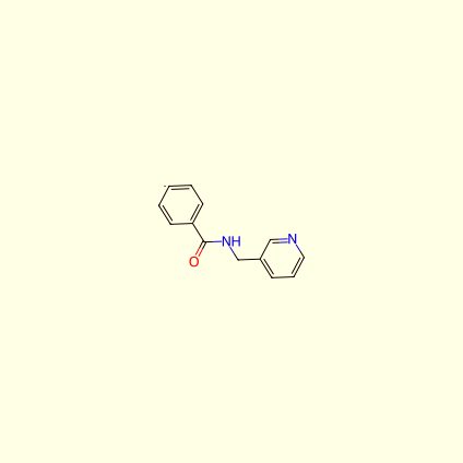 O=C(NCc1cccnc1)c1cc[c]cc1